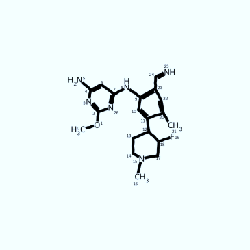 COc1nc(N)cc(Nc2cc(C3CCN(C)CC3F)c(C)cc2C=N)n1